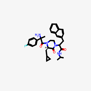 CC(C)NC(=O)C(Cc1ccc2ccccc2c1)N1CCN(C(=O)C(C)(N)c2ccc(F)cc2)[C@H](CC2CC2)C1=O